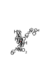 O=C(NS(=O)(=O)c1ccc(NCC2CCOCC2)c([N+](=O)[O-])c1)c1ccc(N2CCC3(CC2)CC(N2CCC[C@H]2c2ccccc2OC2CC2)C3)cc1N1c2cc3cc[nH]c3nc2O[C@@H]2COC[C@H]21